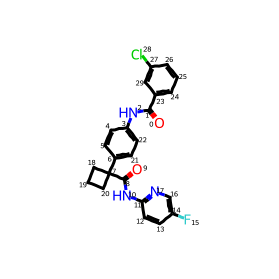 O=C(Nc1ccc(C2(C(=O)Nc3ccc(F)cn3)CCC2)cc1)c1cccc(Cl)c1